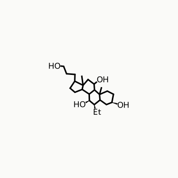 CC[C@@H]1C2C[C@H](O)CCC2(C)C2C(O)CC3(C)C(CCCO)CCC3C2[C@@H]1O